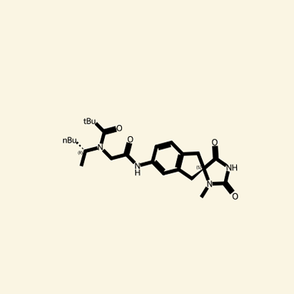 CCCC[C@@H](C)N(CC(=O)Nc1ccc2c(c1)C[C@@]1(C2)C(=O)NC(=O)N1C)C(=O)C(C)(C)C